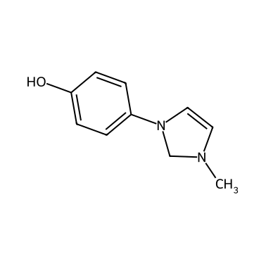 CN1C=CN(c2ccc(O)cc2)C1